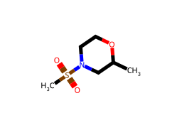 CC1CN(S(C)(=O)=O)CCO1